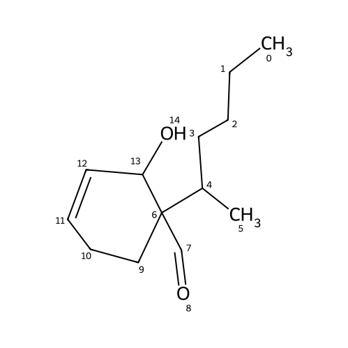 CCCCC(C)C1(C=O)CCC=CC1O